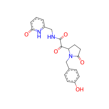 O=C(NCc1cccc(=O)[nH]1)C(=O)C1CCC(=O)N1Cc1ccc(O)cc1